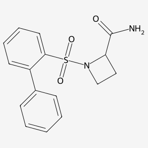 NC(=O)C1CCN1S(=O)(=O)c1ccccc1-c1ccccc1